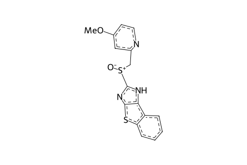 COc1ccnc(C[S+]([O-])c2nc3sc4ccccc4c3[nH]2)c1